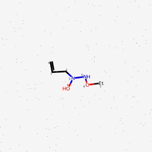 C=CCN(O)NOCC